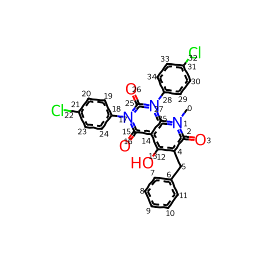 Cn1c(=O)c(Cc2ccccc2)c(O)c2c(=O)n(-c3ccc(Cl)cc3)c(=O)n(-c3ccc(Cl)cc3)c21